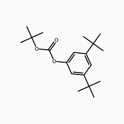 CC(C)(C)OC(=O)Oc1cc(C(C)(C)C)cc(C(C)(C)C)c1